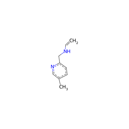 C=CNCc1ccc(C)cn1